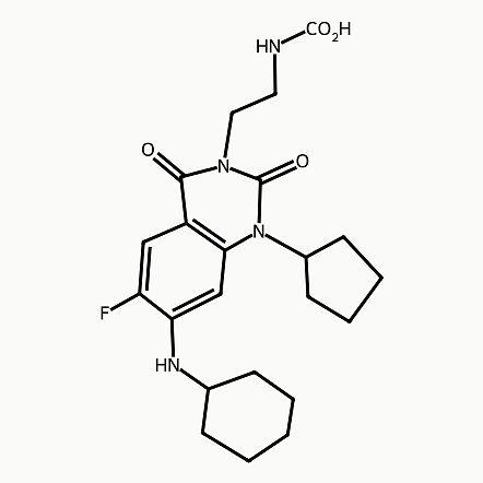 O=C(O)NCCn1c(=O)c2cc(F)c(NC3CCCCC3)cc2n(C2CCCC2)c1=O